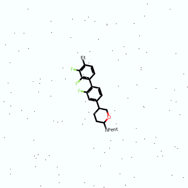 CCCCCC1CCC(c2ccc(-c3ccc(CC)c(F)c3F)c(F)c2)CO1